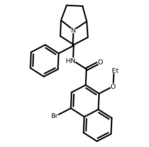 CCOc1c(C(=O)NC2CC3CCC(C2)N3Cc2ccccc2)cc(Br)c2ccccc12